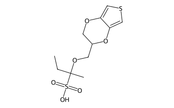 CCC(C)(OCC1COc2cscc2O1)S(=O)(=O)O